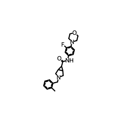 Cc1ccccc1CN1CC2C(C1)C2C(=O)Nc1ccc(N2CCOCC2)c(F)c1